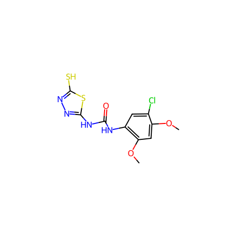 COc1cc(OC)c(NC(=O)Nc2nnc(S)s2)cc1Cl